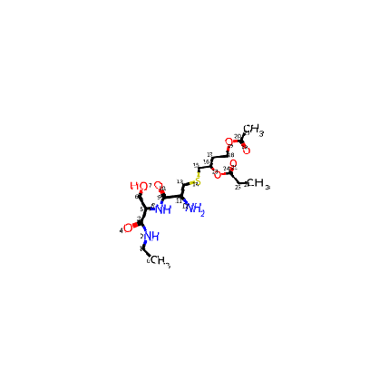 CCNC(=O)C(CO)NC(=O)C(N)CSCC(CCOC(C)=O)OC(=O)CC